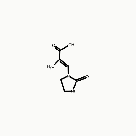 C/C(=C\N1CCNC1=O)C(=O)O